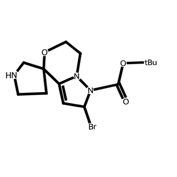 CC(C)(C)OC(=O)N1C(Br)C=C2N1CCOC21CCNC1